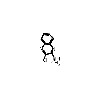 CNc1nc2ccccc2nc1Cl